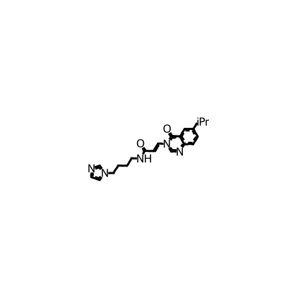 CC(C)c1ccc2ncn(C=CC(=O)NCCCCn3ccnc3)c(=O)c2c1